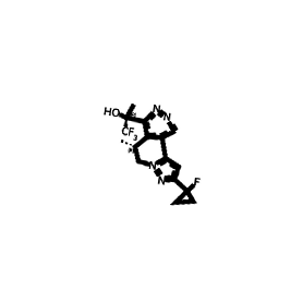 C[C@H]1Cn2nc(C3(F)CC3)cc2-c2cnnc([C@@](C)(O)C(F)(F)F)c21